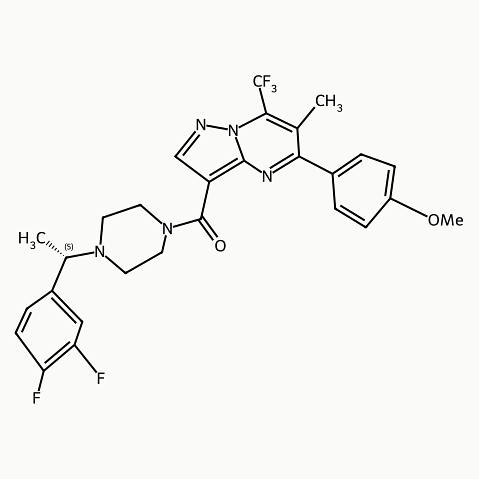 COc1ccc(-c2nc3c(C(=O)N4CCN([C@@H](C)c5ccc(F)c(F)c5)CC4)cnn3c(C(F)(F)F)c2C)cc1